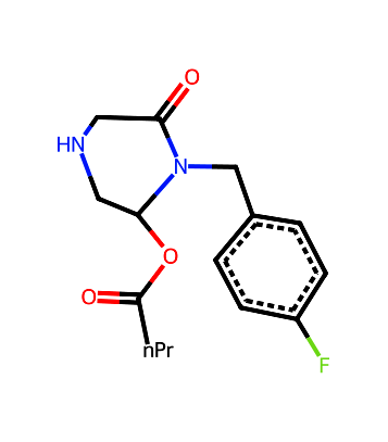 CCCC(=O)OC1CNCC(=O)N1Cc1ccc(F)cc1